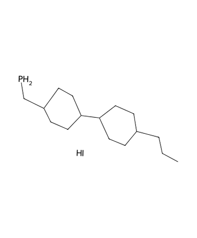 CCCC1CCC(C2CCC(CP)CC2)CC1.I